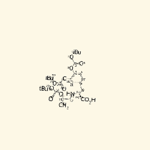 CCC(C)OC(=O)Oc1ccc(C[C@H](NCC(C)OC(=O)OC(C)(C)C)C(=O)O)cc1OC(=O)OC(C)CC